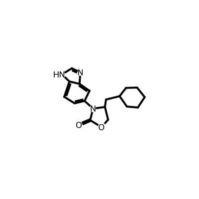 O=C1OCC(CC2CCCCC2)N1c1ccc2[nH]cnc2c1